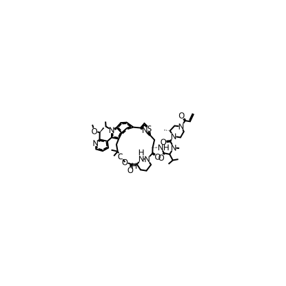 C=CC(=O)N1CCN(C(=O)N(C)C(C(=O)N[C@H]2Cc3nc(cs3)-c3ccc4c(c3)c(c(-c3cccnc3[C@H](C)OC)n4CC)CC(C)(C)COC(=O)[C@@H]3CCCN(N3)C2=O)C(C)C)[C@H](C)C1